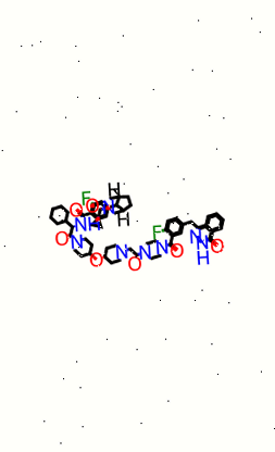 O=C(N[C@@H](C(=O)N1CCC(OC2CCN(CC(=O)N3CCN(C(=O)c4cc(Cc5n[nH]c(=O)c6ccccc56)ccc4F)CC3)CC2)CC1)C1CCCCC1)c1ccc(C2[C@@H]3CC[C@H]2CN(C(=O)C2CC2)C3)cc1F